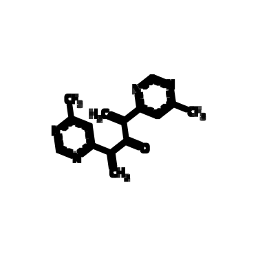 C=C(C(=O)C(=C)c1cc(C(F)(F)F)ncn1)c1cc(C(F)(F)F)ncn1